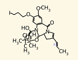 C/C=C/C1=CN2C(=O)c3cc(OC)c(OCCCI)cc3N(C(=O)O)C(O[Si](C)(C)C(C)(C)C)C2C1